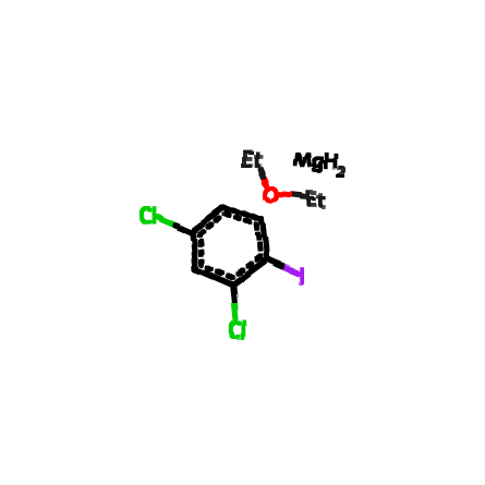 CCOCC.Clc1ccc(I)c(Cl)c1.[MgH2]